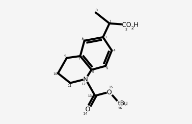 CC(C(=O)O)c1ccc2c(c1)CCCN2C(=O)OC(C)(C)C